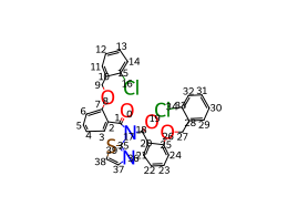 O=C(c1ccccc1OCc1ccccc1Cl)N(C(=O)c1ccccc1OCc1ccccc1Cl)c1nccs1